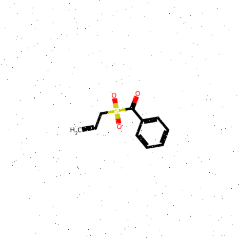 C=CCS(=O)(=O)C(=O)c1ccccc1